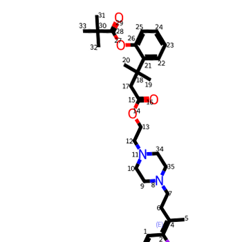 C=C/C(I)=C(/C)CCN1CCN(CCOC(=O)CC(C)(C)c2ccccc2OC(=O)C(C)(C)C)CC1